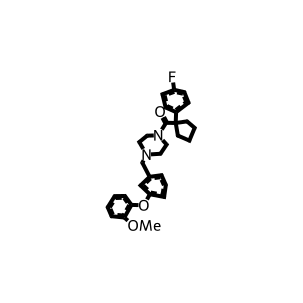 COc1ccccc1Oc1cccc(CN2CCN(C(=O)C3(c4ccc(F)cc4)CCCC3)CC2)c1